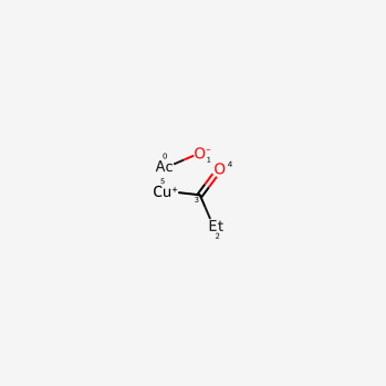 CC(=O)[O-].CC[C](=O)[Cu+]